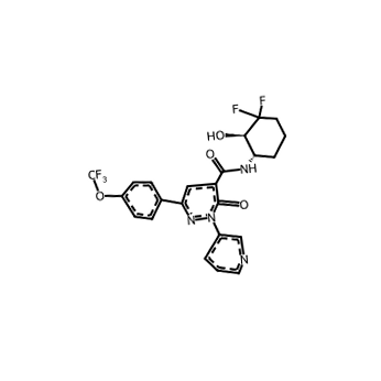 O=C(N[C@H]1CCCC(F)(F)[C@@H]1O)c1cc(-c2ccc(OC(F)(F)F)cc2)nn(-c2cccnc2)c1=O